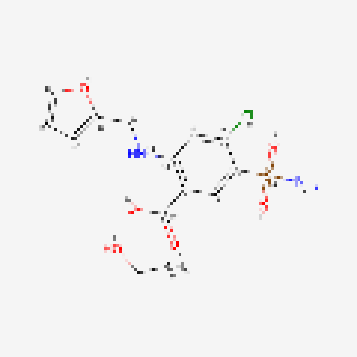 CCO.NS(=O)(=O)c1cc(C(=O)O)c(NCc2ccco2)cc1Cl